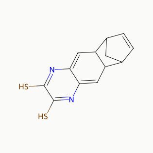 Sc1nc2c(nc1S)=CC1C3C=CC(C3)C1C=2